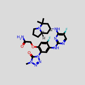 Cn1nnn(-c2cc(Nc3ncc(F)c(N[C@@H]4C[C@@H]5CCCN5C(C)(C)C4)n3)c(F)cc2OCC(N)=O)c1=O